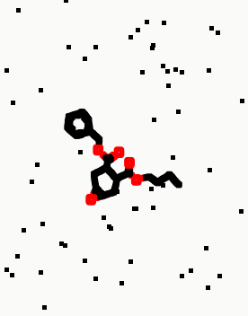 CCCCOC(=O)C1CC2OC2CC1C(=O)OCc1ccccc1